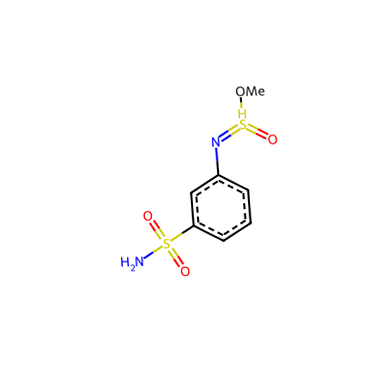 CO[SH](=O)=Nc1cccc(S(N)(=O)=O)c1